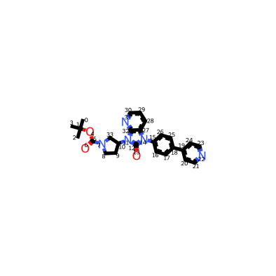 CC(C)(C)OC(=O)N1CCC(n2c(=O)n(-c3ccc(-c4ccncc4)cc3)c3cccnc32)C1